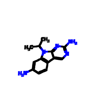 CC(C)n1c2cc(N)ccc2c2cnc(N)nc21